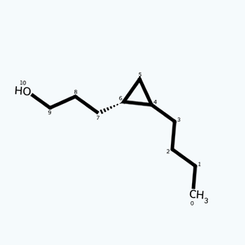 CCCCC1C[C@H]1CCCO